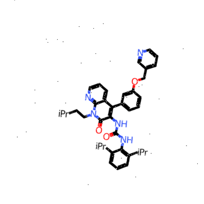 CC(C)CCn1c(=O)c(NC(=O)Nc2c(C(C)C)cccc2C(C)C)c(-c2cccc(OCc3cccnc3)c2)c2cccnc21